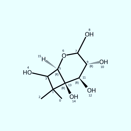 CC1(C)C(O)[C@H]2OC(O)[C@H](O)[C@@H](O)[C@@]21O